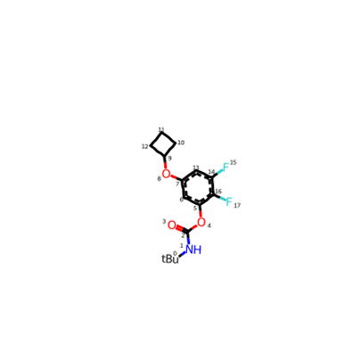 CC(C)(C)NC(=O)Oc1cc(OC2CCC2)cc(F)c1F